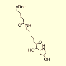 CCCCCCCCCCCCCCC(=O)NCCCCCC(=O)C(O)[C@@H]1CC(O)CN1